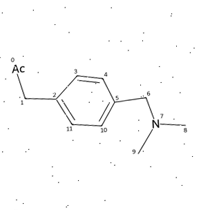 CC(=O)Cc1ccc(CN(C)C)cc1